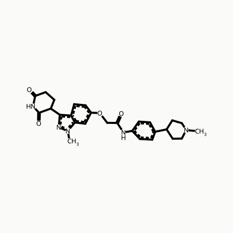 CN1CCC(c2ccc(NC(=O)COc3ccc4c(C5CCC(=O)NC5=O)nn(C)c4c3)cc2)CC1